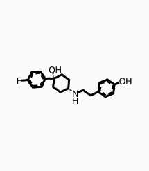 Oc1ccc(CCN[C@H]2CC[C@](O)(c3ccc(F)cc3)CC2)cc1